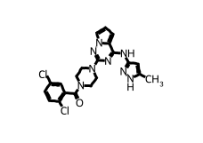 Cc1cc(Nc2nc(N3CCN(C(=O)c4cc(Cl)ccc4Cl)CC3)nn3cccc23)n[nH]1